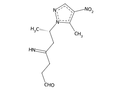 Cc1c([N+](=O)[O-])cnn1[C@@H](C)CC(=N)CCC=O